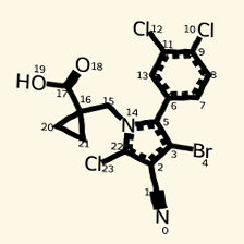 N#Cc1c(Br)c(-c2ccc(Cl)c(Cl)c2)n(CC2(C(=O)O)CC2)c1Cl